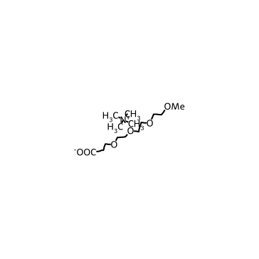 COCCOCCOCCOCCC(=O)[O-].C[N+](C)(C)C